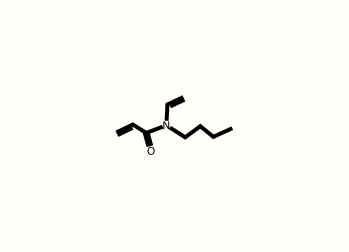 C=CC(=O)N(C=C)CCCC